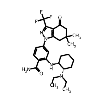 CCN(CC)[C@H]1CCCC[C@@H]1Nc1cc(-n2nc(C(F)(F)F)c3c2CC(C)(C)CC3=O)ccc1C(N)=O